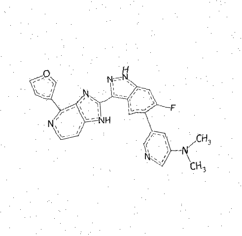 CN(C)c1cncc(-c2cc3c(-c4nc5c(-c6ccoc6)nccc5[nH]4)n[nH]c3cc2F)c1